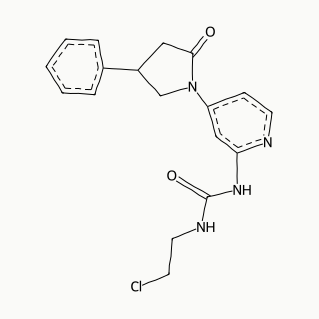 O=C(NCCCl)Nc1cc(N2CC(c3ccccc3)CC2=O)ccn1